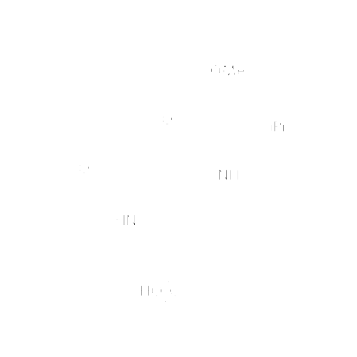 COC(=O)[C@@H](N[C@H]1CC(=O)N[C@H]1CC(=O)O)C(C)C